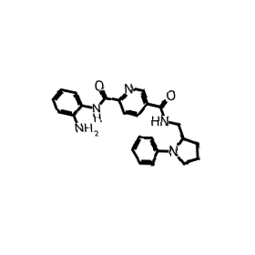 Nc1ccccc1NC(=O)c1ccc(C(=O)NCC2CCCN2c2ccccc2)cn1